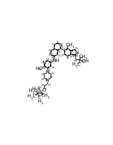 Cc1c(-c2nccc3cnc(Nc4cnc(O)c(N5CCN(CCO[Si](C)(C)C(C)(C)C)CC5)c4)cc23)ccc2c1cnn2CC(C)(C)O